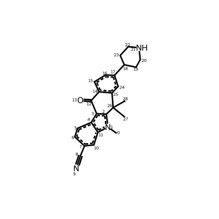 Cn1c2c(c3ccc(C#N)cc31)C(=O)c1ccc(C3CCNCC3)cc1C2(C)C